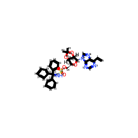 C=Cc1ncnc2c1ncn2[C@@H]1O[C@H](COS(=O)(=O)NC(c2ccccc2)(c2ccccc2)c2ccccc2)[C@H]2OC(C)(C)O[C@H]21